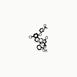 CC(=O)N1CC[C@H](Oc2ccc(Cl)c3c2[C@@H](CN2CC4(CC4)CC2=O)N(C(=O)[C@@H]2CCCC[C@]2(C)C(=O)O)CC3)C1